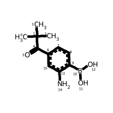 CC(C)(C)C(=O)c1ccc(B(O)O)c(N)c1